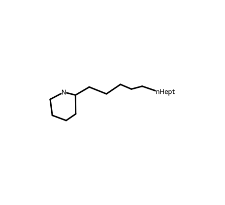 CCCCCCCCCCCCC1CCCC[N]1